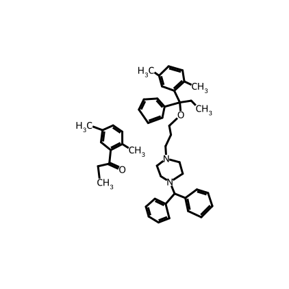 CCC(=O)c1cc(C)ccc1C.CCC(OCCCN1CCN(C(c2ccccc2)c2ccccc2)CC1)(c1ccccc1)c1cc(C)ccc1C